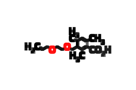 C=CCOCCOCc1c(C)cc(C)c(C(=O)O)c1C